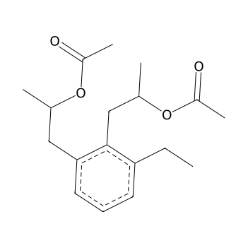 CCc1cccc(CC(C)OC(C)=O)c1CC(C)OC(C)=O